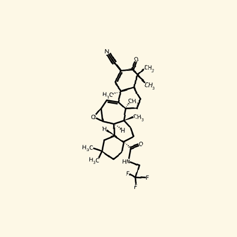 CC1(C)CC[C@]2(C(=O)NCC(F)(F)F)CC[C@]3(C)[C@H](C4OC4C=C4[C@@]5(C)C=C(C#N)C(=O)C(C)(C)C5CC[C@]43C)[C@H]2C1